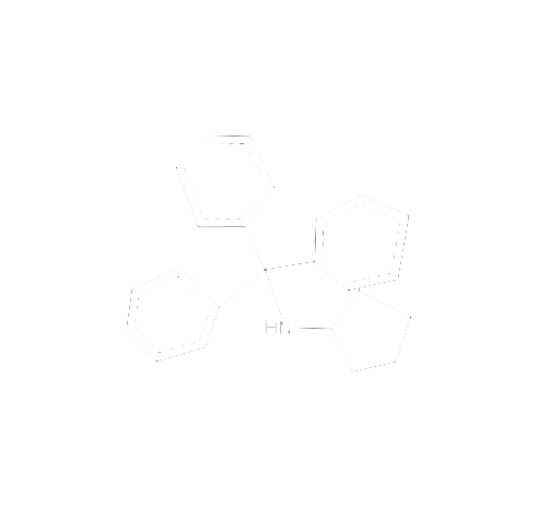 c1ccc(C(NC2CCCC2)(c2ccccc2)c2ccccc2)cc1